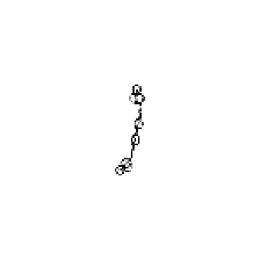 O=C1CCC(CCCCOCCCOCCCCC2CCC(=O)OC2)CO1